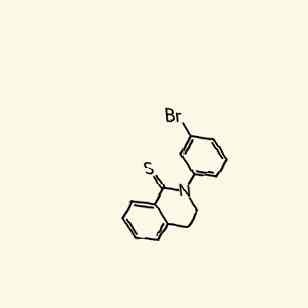 S=C1c2ccccc2CCN1c1cccc(Br)c1